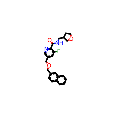 O=C(NCC1CCOC1)c1ncc(COCc2ccc3ccccc3c2)cc1F